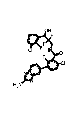 Nc1nc2cc(-c3ccc(Cl)c(C(=O)NCC(F)(F)C(O)c4cccc(Cl)c4F)c3F)ccn2n1